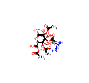 CC(=O)OC(O)[C@H]1O[C@@H](O)[C@](O)(OC(C)=O)[C@](O)(OC(C)=O)[C@]1(O)OC(C)=O.N=[N+]=N